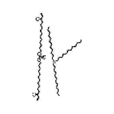 C=CC(=O)CCCCCCCCCCCO[N+](=O)OCCCCCCCCCCCC(=O)C=C.CCCCCCCCCCCCN(CCCCCCCCCCCC)CCCCCCCCCCCC